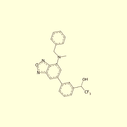 CN(Cc1ccccc1)c1cc(-c2cccc(C(O)C(F)(F)F)c2)cc2nonc12